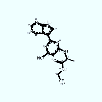 C[C@H](Nc1cc(C#N)nc(-c2c[nH]c3ncncc23)n1)C(=O)NCC(F)(F)F